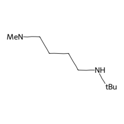 CNCCCCNC(C)(C)C